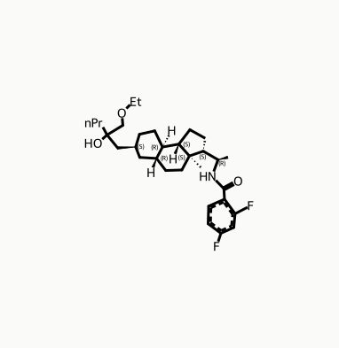 CCCC(O)(COCC)C[C@H]1CC[C@@H]2[C@H](CC[C@]3(C)[C@@H]([C@@H](C)NC(=O)c4ccc(F)cc4F)CC[C@@H]23)C1